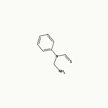 NCN([C]=S)c1ccccc1